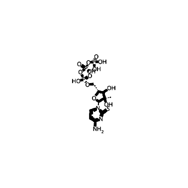 C[C@@]1(O)C(O)[C@@H](COP(=O)(O)OP(=O)(O)OP(=O)(O)O)O[C@H]1n1ccc(N)nc1=S